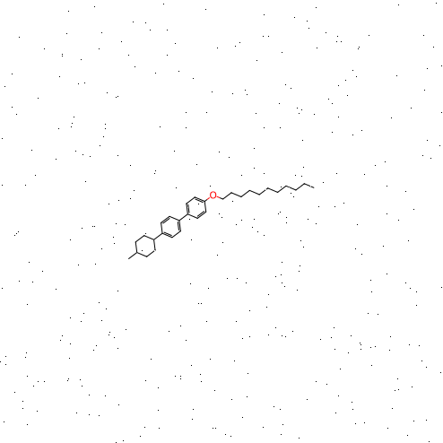 CCCCCCCCCCCOc1ccc(-c2ccc(C3CCC(C)CC3)cc2)cc1